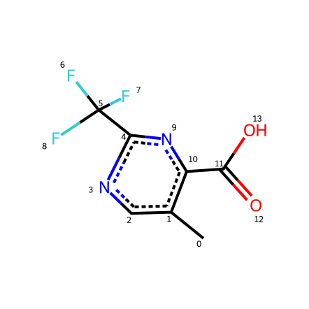 Cc1cnc(C(F)(F)F)nc1C(=O)O